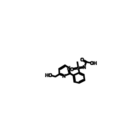 CS(=O)(=NC(=O)O)c1ccccc1-c1nccc(CO)n1